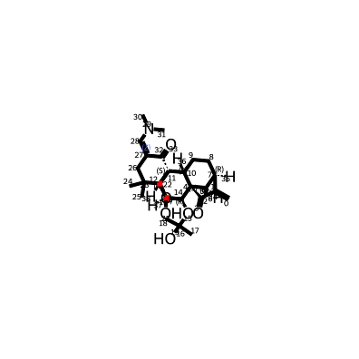 C=C1C(=O)[C@]23[C@H](C)[C@H]1CC[C@H]2[C@@]12CO[C@]3(OC(C)(C)O)[C@@H](O)[C@@H]1C(C)(C)C/C(=C/N(C)C)C2=O